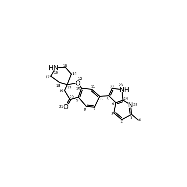 Cc1ccc2c(-c3ccc4c(c3)OC3(CCNCC3)CC4=O)c[nH]c2n1